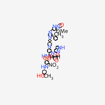 COc1cc(CN2CCN(C3CC4(CCN(c5ccc(C(=O)NS(=O)(=O)c6ccc(NC[C@H]7CC[C@](C)(O)CC7)c([N+](=O)[O-])c6)c(N6C[C@H]7CCOC[C@@H]7Oc7nc8[nH]ccc8cc76)c5)CC4)C3)[C@H](c3ccccc3C)C2)cnc1N1CCOCC1